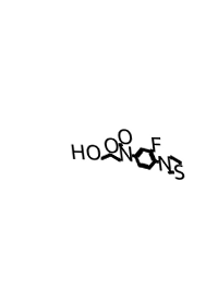 O=C1OC(CO)CN1c1ccc(N2CCSC2)c(F)c1